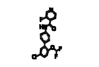 O=C(Nc1ccc(-c2cc(Cl)ccc2OC(F)F)cc1)c1ccncc1F